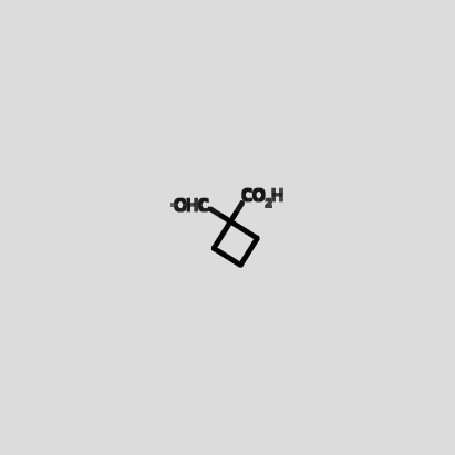 O=[C]C1(C(=O)O)CCC1